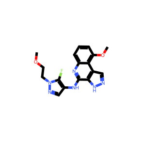 COCCn1ncc(Nc2nc3cccc(OC)c3c3cn[nH]c23)c1F